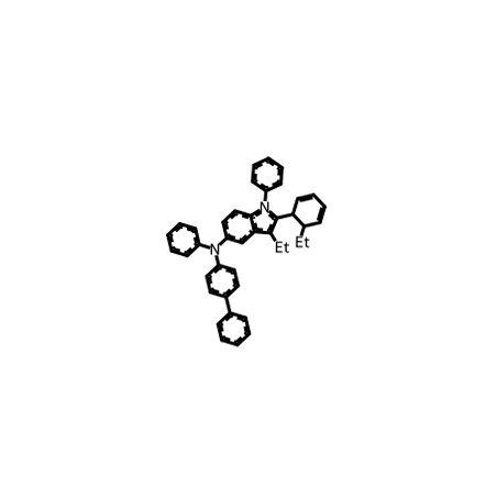 CCc1c(C2C=CC=CC2CC)n(-c2ccccc2)c2ccc(N(c3ccccc3)c3ccc(-c4ccccc4)cc3)cc12